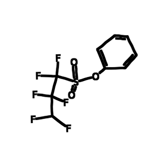 O=S(=O)(Oc1ccccc1)C(F)(F)C(F)(F)C(F)F